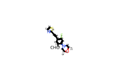 C[C@@H]1CN(c2cc(F)c(C#Cc3nccs3)cc2C=O)C[C@H](C)O1